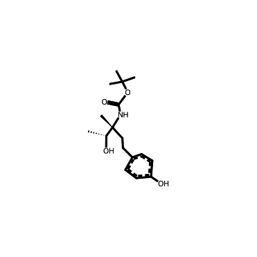 C[C@@H](O)[C@@](C)(CCc1ccc(O)cc1)NC(=O)OC(C)(C)C